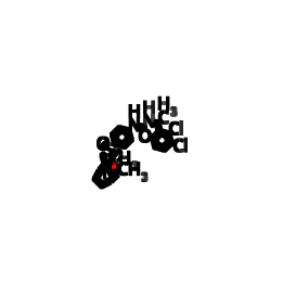 CC(NC(=O)Nc1ccc(S(=O)(=O)CC2=CCC3CCC2N3C(C)C)cc1)c1cccc(Cl)c1Cl